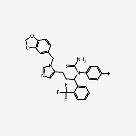 NC(=S)N(c1ccc(F)cc1)C(CCc1cncn1Cc1ccc2c(c1)OCO2)c1ccccc1C(F)(F)F